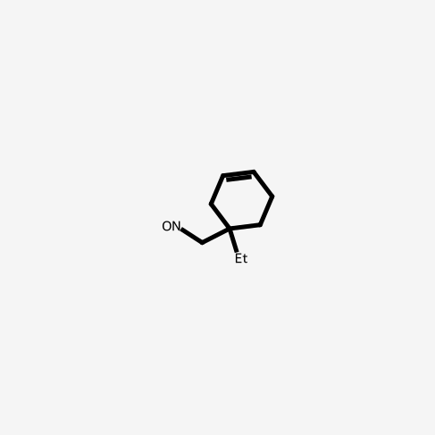 CCC1(CN=O)CC=CCC1